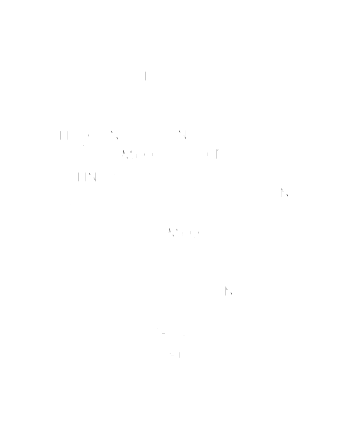 COc1cc(-c2nccc(-c3cccc(-c4cc(F)c(CN(C[C@@H]5CCC(=O)N5)C(=O)O)c(OC)n4)c3Cl)c2Cl)cc2c1CN(CCO[Si](C)(C)C(C)(C)C)CC2